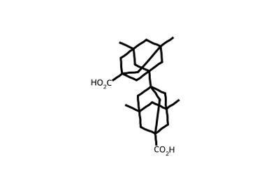 CC12CC3(C)CC(C(=O)O)(C1)CC(C14CC5(C)CC(C)(CC(C(=O)O)(C5)C1)C4)(C2)C3